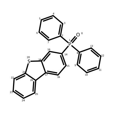 O=P(c1ccccc1)(c1ccccc1)c1ccc2c(c1)sc1ccccc12